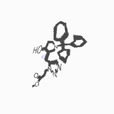 COC(=O)CCn1nncc1/C=C1\CN(C(c2ccccc2)(c2ccccc2)c2ccccc2)CCC1O